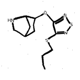 CCCSc1nsnc1OC1CC2CNC1C2